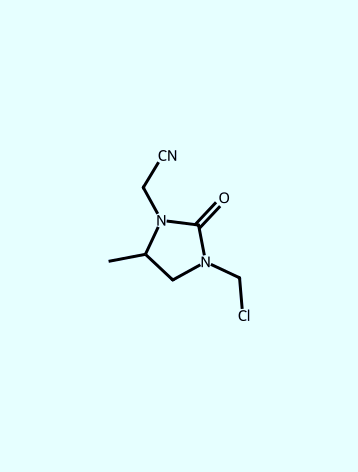 CC1CN(CCl)C(=O)N1CC#N